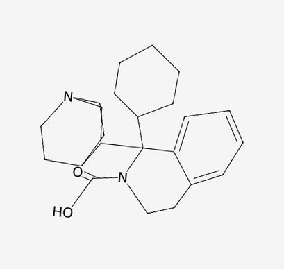 O=C(O)N1CCc2ccccc2C1(C1CCCCC1)C1CN2CCC1CC2